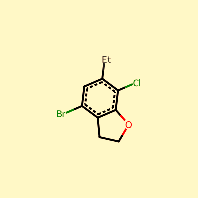 CCc1cc(Br)c2c(c1Cl)OCC2